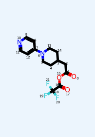 O=C(CC1CCN(c2ccncc2)CC1)OC(=O)C(F)(F)F